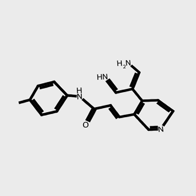 Cc1ccc(NC(=O)/C=C/c2cnccc2/C(C=N)=C/N)cc1